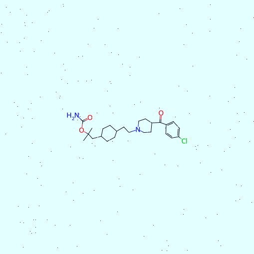 CC(C)(CC1CCC(CCN2CCC(C(=O)c3ccc(Cl)cc3)CC2)CC1)OC(N)=O